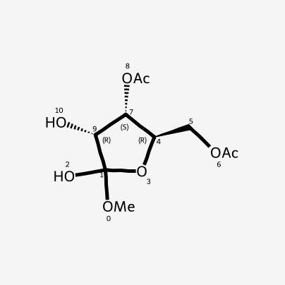 COC1(O)O[C@H](COC(C)=O)[C@@H](OC(C)=O)[C@H]1O